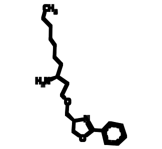 CCCCCCC[C@H](N)CCOC[C@@H]1COC(c2ccccc2)=N1